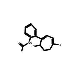 CC(=O)Nc1ccccc1C1=CC=C(Cl)CCC1Cl